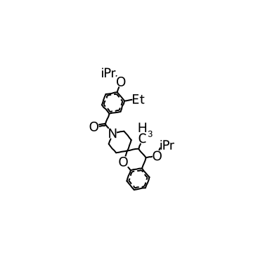 CCc1cc(C(=O)N2CCC3(CC2)Oc2ccccc2C(OC(C)C)C3C)ccc1OC(C)C